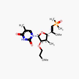 COCCO[C@@H]1[C@H](C)[C@@H](/C(=C/P(C)(C)=O)OC)O[C@H]1n1cc(C)c(=O)[nH]c1=O